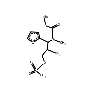 CC(COS(C)(=O)=O)C(c1ccco1)N(C)C(=O)OC(C)(C)C